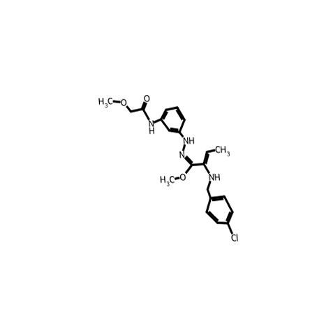 C/C=C(NCc1ccc(Cl)cc1)/C(=N\Nc1cccc(NC(=O)COC)c1)OC